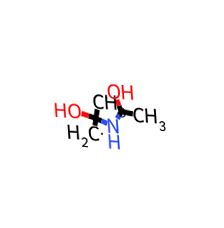 [CH2]C(C)(O)NC(C)O